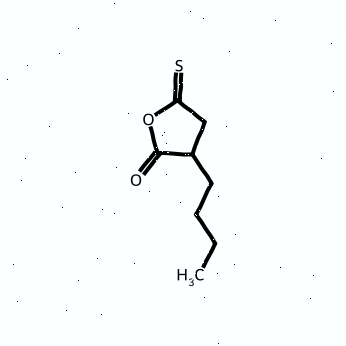 CCCCC1CC(=S)OC1=O